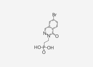 O=c1c2ccc(Br)cc2cnn1CCP(=O)(O)O